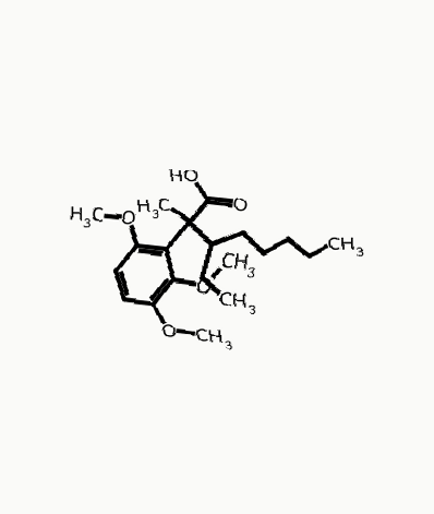 CCCCCC(CC)C(C)(C(=O)O)c1c(OC)ccc(OC)c1OC